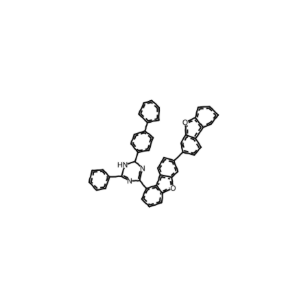 c1ccc(C2=NC(c3cccc4oc5cc(-c6ccc7c(c6)oc6ccccc67)ccc5c34)=NC(c3ccc(-c4ccccc4)cc3)N2)cc1